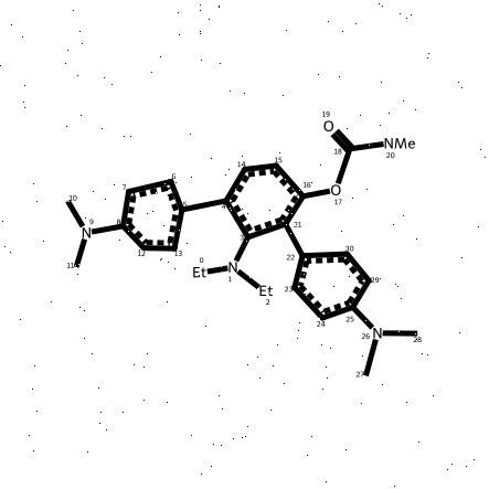 CCN(CC)c1c(-c2ccc(N(C)C)cc2)c[c]c(OC(=O)NC)c1-c1ccc(N(C)C)cc1